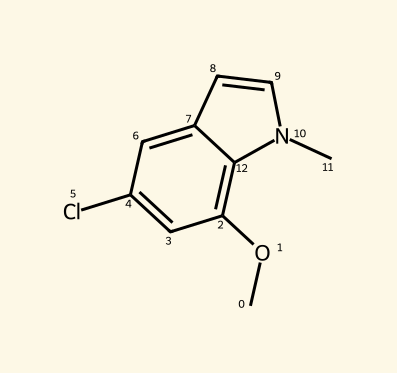 COc1cc(Cl)cc2ccn(C)c12